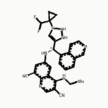 CC(C)(C)CNc1c(C#N)cnc2c(C#N)cc(N[C@H](C3=CN(C4(C(F)F)CC4)NN3)c3cccc4cnccc34)cc12